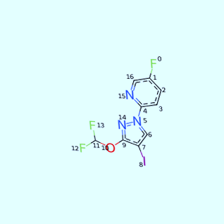 Fc1ccc(-n2cc(I)c(OC(F)F)n2)nc1